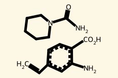 C=Cc1ccc(C(=O)O)c(N)c1.NC(=O)N1CCCCC1